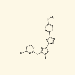 Cc1cc(-c2nc(-c3ccc(SC(F)(F)F)cc3)no2)nn1Cc1cccc(Br)c1